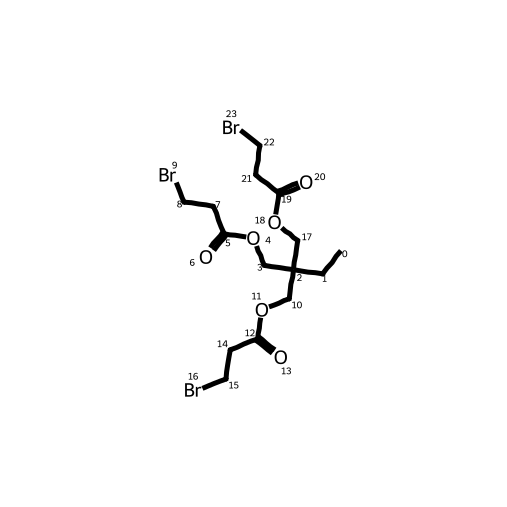 CCC(COC(=O)CCBr)(COC(=O)CCBr)COC(=O)CCBr